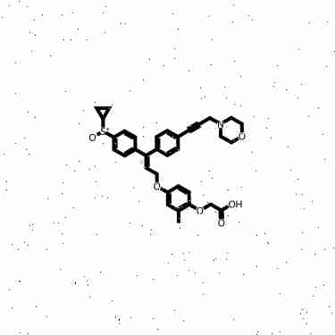 Cc1cc(OC/C=C(\c2ccc(C#CCN3CCOCC3)cc2)c2ccc([S+]([O-])C3CC3)cc2)ccc1OCC(=O)O